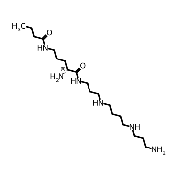 CCCC(=O)NCCC[C@@H](N)C(=O)NCCCNCCCCNCCCN